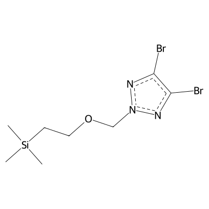 C[Si](C)(C)CCOCn1nc(Br)c(Br)n1